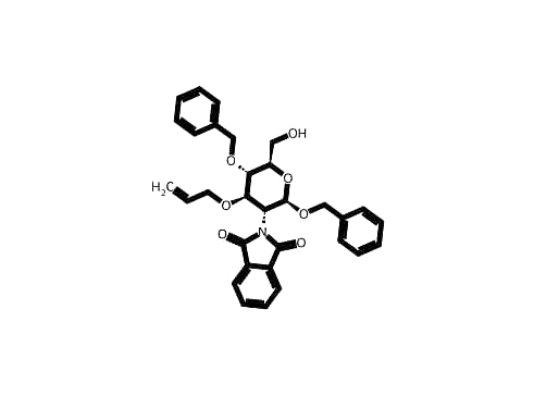 C=CCO[C@H]1[C@H](OCc2ccccc2)[C@@H](CO)O[C@@H](OCc2ccccc2)[C@@H]1N1C(=O)c2ccccc2C1=O